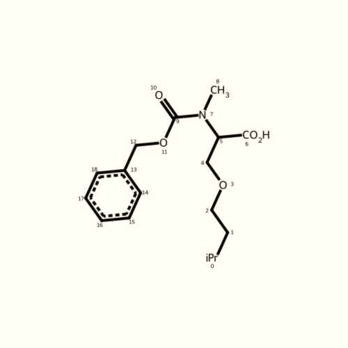 CC(C)CCOCC(C(=O)O)N(C)C(=O)OCc1ccccc1